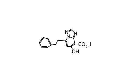 O=C(O)c1c(O)cc(CCc2ccccc2)n2ncnc12